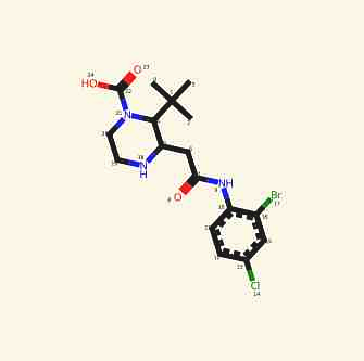 CC(C)(C)C1C(CC(=O)Nc2ccc(Cl)cc2Br)NCCN1C(=O)O